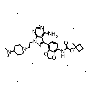 CN(C)C1CCN(CCn2nc(-c3ccc(NC(=O)OC4(C)CCC4)c4c3OCO4)c3c(N)ncnc32)CC1